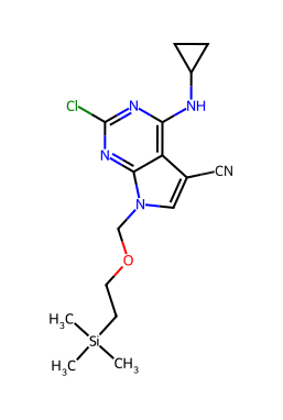 C[Si](C)(C)CCOCn1cc(C#N)c2c(NC3CC3)nc(Cl)nc21